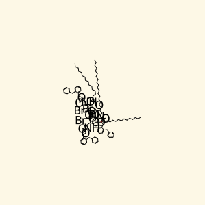 CCCCCCCCCCCCCCCCOCC(CNC(=O)OCc1ccccc1Cc1ccccc1)C(CBr)OP(=O)(OC(CBr)C(CNC(=O)OCc1ccccc1Cc1ccccc1)COCCCCCCCCCCCCCCCC)OC(CBr)C(CNC(=O)OCc1ccccc1Cc1ccccc1)COCCCCCCCCCCCCCCCC